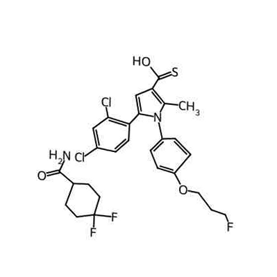 Cc1c(C(O)=S)cc(-c2ccc(Cl)cc2Cl)n1-c1ccc(OCCCF)cc1.NC(=O)C1CCC(F)(F)CC1